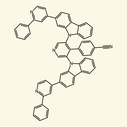 N#Cc1ccc(-c2c(-n3c4ccccc4c4ccc(-c5ccnc(-c6ccccc6)c5)cc43)cncc2-n2c3ccccc3c3ccc(-c4ccnc(-c5ccccc5)c4)cc32)cc1